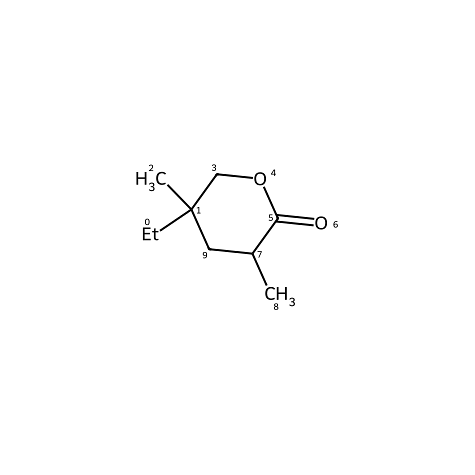 CCC1(C)COC(=O)C(C)C1